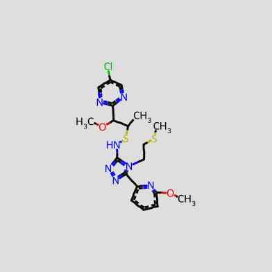 COc1cccc(-c2nnc(NSC(C)C(OC)c3ncc(Cl)cn3)n2CCSC)n1